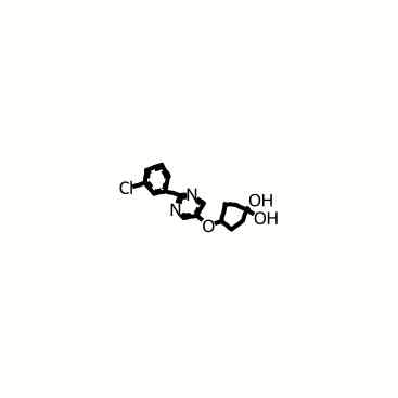 OC1(O)CCC(Oc2cnc(-c3cccc(Cl)c3)nc2)CC1